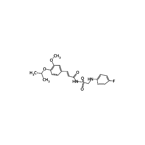 COc1cc(C=CC(=O)NS(=O)(=O)CNc2ccc(F)cc2)ccc1OC(C)C